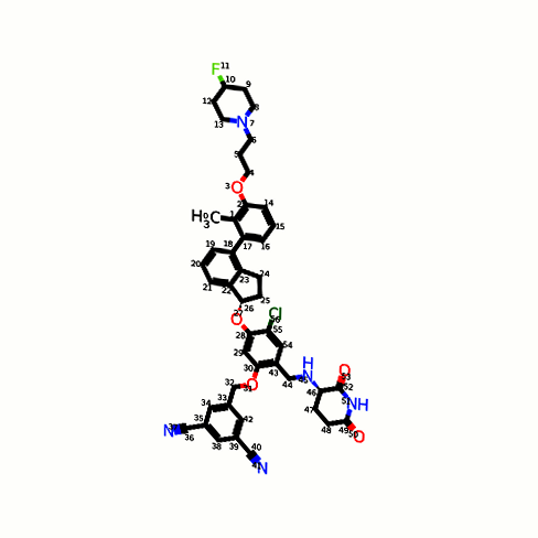 Cc1c(OCCCN2CCC(F)CC2)cccc1-c1cccc2c1CC[C@@H]2Oc1cc(OCc2cc(C#N)cc(C#N)c2)c(CN[C@@H]2CCC(=O)NC2=O)cc1Cl